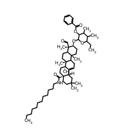 CCCCCCCCCCCCNC(=O)[C@]12CCC(C)(C)C[C@H]1C1=CCC3[C@@]4(C)CC[C@H](OC5OC(CC)C(C)C(C)C5OC(=O)c5ccccc5)[C@@](C)(C=O)C4CC[C@@]3(C)[C@]1(C)CC2